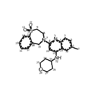 Cc1ccc2nc(N3CCS(=O)(=O)c4ccccc4C3)cc(NC3CCOCC3)c2c1